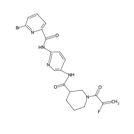 C=C(F)C(=O)N1CCCC(C(=O)Nc2ccc(NC(=O)c3cccc(Br)n3)nc2)C1